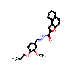 CCCOc1ccc(/C=N/NC(=O)c2cc3c(ccc4ccccc43)o2)cc1OC